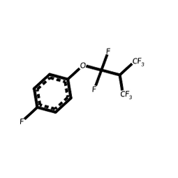 Fc1ccc(OC(F)(F)C(C(F)(F)F)C(F)(F)F)cc1